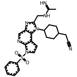 CC(=N)NCc1nc2cnc3c(ccn3S(=O)(=O)c3ccccc3)c2n1C1CCC(CC#N)CC1